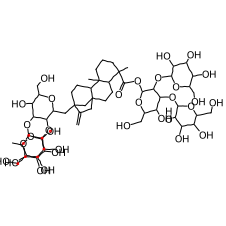 C=C1CC23CCC4C(C)(C(=O)OC5OC(CO)C(O)C(OC6OC(CO)C(O)C(O)C6O)C5OC5OC(CO)C(O)C(O)C5O)CCCC4(C)C2CCC1(CC1OC(CO)C(O)C(OC2OC(CO)C(O)C(O)C2O)C1OC1OC(C)C(O)C(O)C1O)C3